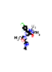 Cc1nc2c(-c3ccc(Cl)cc3F)nc(N3C[C@@H](C)O[C@H](c4cnn(C5CC5)c4)C3)cc2c(=O)n1C